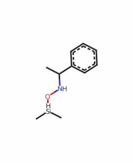 CC(NO[SiH](C)C)c1ccccc1